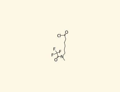 CN(CCCCCC(=O)Cl)C(=O)C(F)(F)F